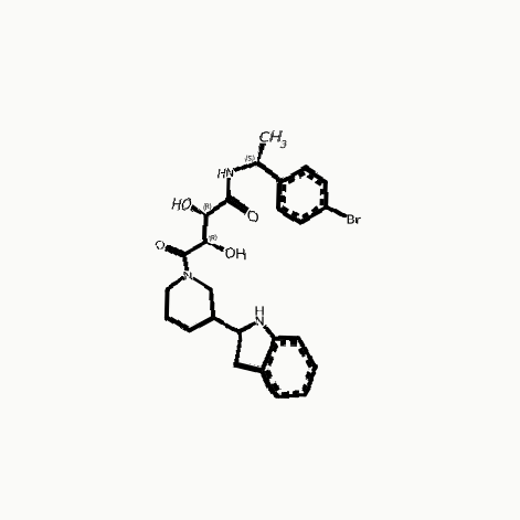 C[C@H](NC(=O)[C@H](O)[C@@H](O)C(=O)N1CCCC(C2Cc3ccccc3N2)C1)c1ccc(Br)cc1